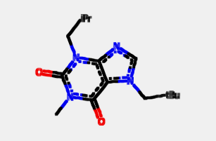 CC(C)Cn1c(=O)n(C)c(=O)c2c1ncn2CC(C)(C)C